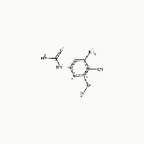 CCCC(=O)Nc1cc(N)c(C#N)c(OCC)n1